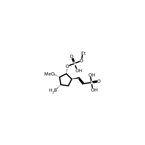 B[C@H]1C[C@H](/C=C/P(=O)(O)O)[C@@H](OP(=O)(O)OCC)[C@H]1OC